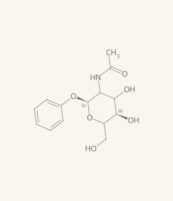 CC(=O)NC1C(O)[C@@H](O)C(CO)O[C@H]1Oc1ccccc1